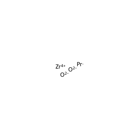 [O-2].[O-2].[Pr].[Zr+4]